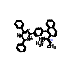 C/C=C(\NN)c1ccc2ccccc2c1-c1ccc(C2N=C(c3ccccc3)NC(c3ccccc3)N2)cc1